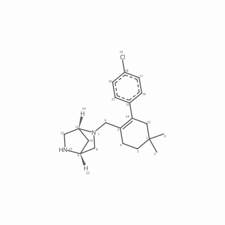 CC1(C)CCC(CN2C[C@H]3C[C@@H]2CN3)=C(c2ccc(Cl)cc2)C1